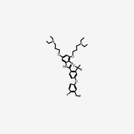 CCN(CC)CCCOc1cc(OCCCN(CC)CC)c2nc(-c3ccc(Oc4ccc(F)c(CF)c4)cc3C(C)(F)F)[nH]c2c1